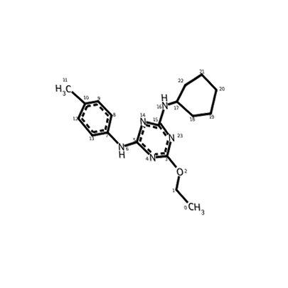 CCOc1nc(Nc2ccc(C)cc2)nc(NC2CCCCC2)n1